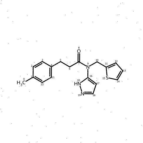 Cc1ccc(CCC(=O)N(Cc2cccs2)c2ccn[nH]2)cc1